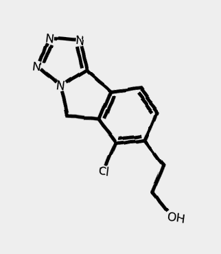 OCCc1ccc2c(c1Cl)Cn1nnnc1-2